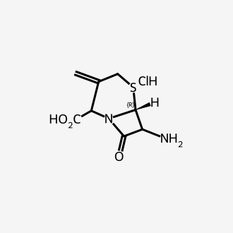 C=C1CS[C@@H]2C(N)C(=O)N2C1C(=O)O.Cl